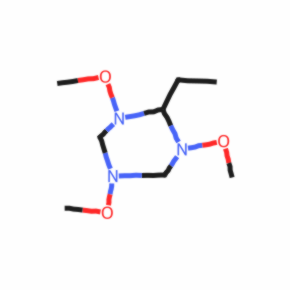 CCC1N(OC)CN(OC)CN1OC